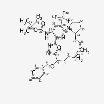 C=CCCC(OCc1ccccc1)c1nnc(-c2nc(N3CCC[C@H]3CC=C)c(C(F)(F)F)cc2NC(=O)OC(C)(C)C)o1